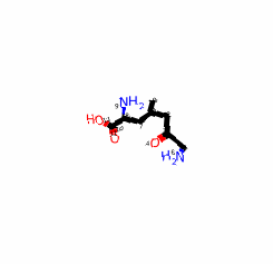 CC(CC(=O)CN)C[C@H](N)C(=O)O